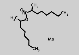 CCCCCCC(C)O[PH](=O)C(C)CCCCCC.[Mo]